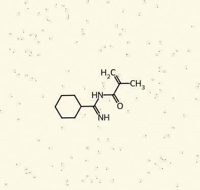 C=C(C)C(=O)NC(=N)C1CCCCC1